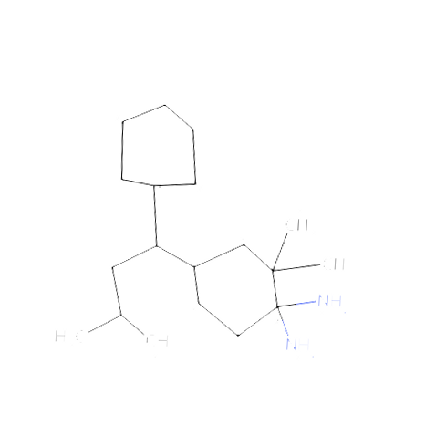 CC(C)CC(C1CCCCC1)C1CCC(N)(N)C(C)(C)C1